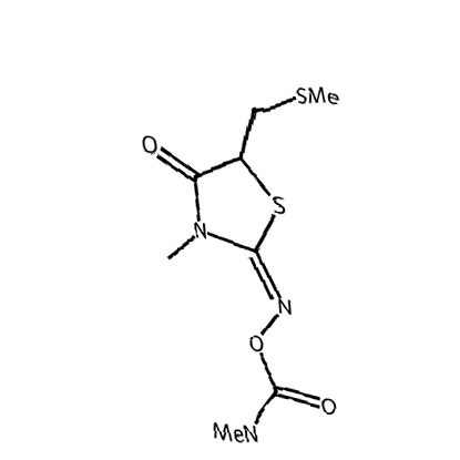 CNC(=O)ON=C1SC(CSC)C(=O)N1C